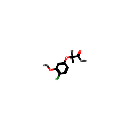 CCCOc1cc(O[C@](C)(CC)C(=O)OC)ccc1Cl